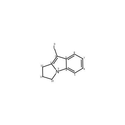 Ic1c2n(c3ccccc13)CCC2